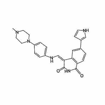 CN1CCN(c2ccc(N/C=C3\C(=O)NC(=O)c4ccc(-c5cc[nH]c5)cc43)cc2)CC1